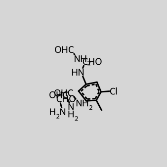 Cc1ccc(NC=O)cc1Cl.NC=O.NC=O.NC=O.NC=O